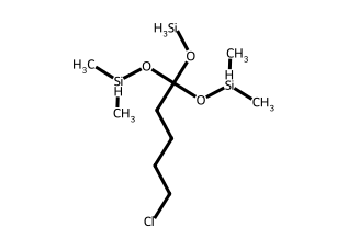 C[SiH](C)OC(CCCCCl)(O[SiH3])O[SiH](C)C